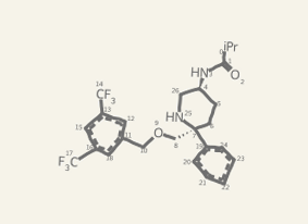 CC(C)C(=O)N[C@H]1CC[C@@](COCc2cc(C(F)(F)F)cc(C(F)(F)F)c2)(c2ccccc2)NC1